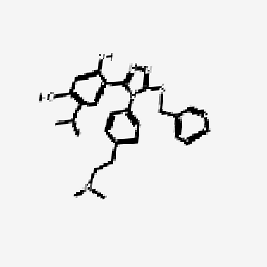 CC(C)c1cc(-c2nnc(SCc3cccnc3)n2-c2ccc(CCN(C)C)cc2)c(O)cc1O